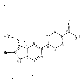 CCc1c(Br)[nH]c2ccc(C3CCN(C(=O)O)CC3)cc12